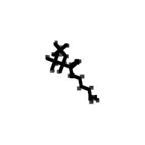 CC(C)(C)CC(C)(C(=O)OCCC[SiH3])C(C)(C)C